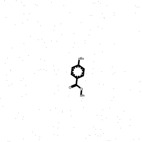 CCCCc1ccc(C(=O)OCCC)cc1